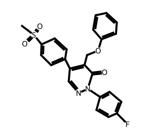 CS(=O)(=O)c1ccc(-c2cnn(-c3ccc(F)cc3)c(=O)c2COc2ccccc2)cc1